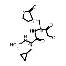 O=C(O)N[C@@H](CC1CC1)C(=O)N[C@@H](C[C@@H]1CCNC1=O)C(=O)CCl